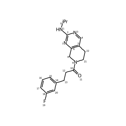 CC(C)Nc1ncc2c(n1)CN(C(=O)CCc1cccc(F)c1)CC2